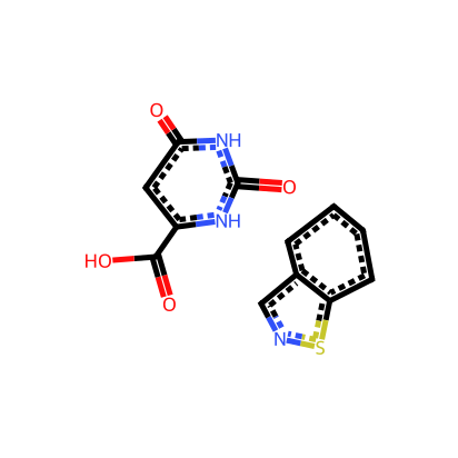 O=C(O)c1cc(=O)[nH]c(=O)[nH]1.c1ccc2sncc2c1